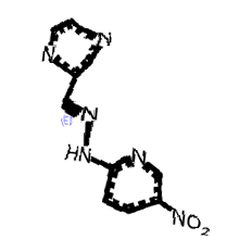 O=[N+]([O-])c1ccc(N/N=C/c2cnccn2)nc1